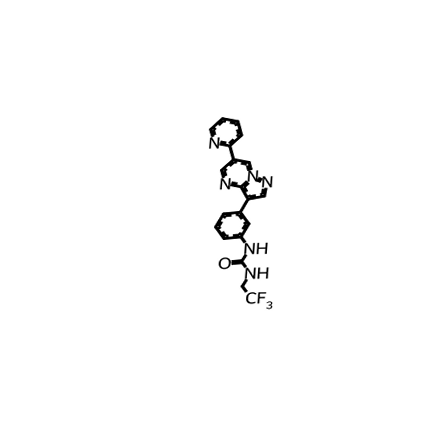 O=C(NCC(F)(F)F)Nc1cccc(-c2cnn3cc(-c4ccccn4)cnc23)c1